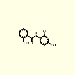 O=Cc1ccccc1C(=O)Nc1ccc(O)nc1O